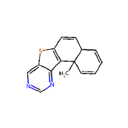 CC12C=CC=CC1C=Cc1sc3cncnc3c12